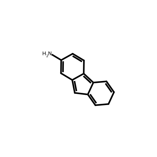 Nc1ccc2c(c1)=CC1=CCC=CC=21